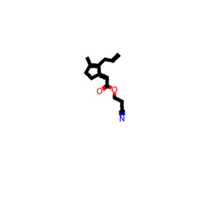 C=CCC1=C(C)CCC1=CC(=O)OCCC#N